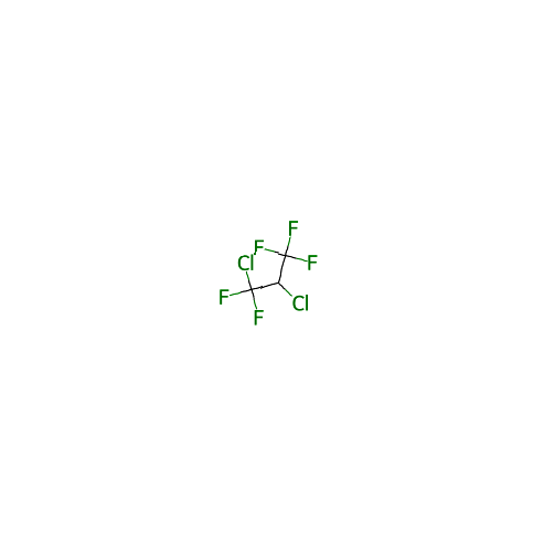 FC(F)(F)C(Cl)C(F)(F)Cl